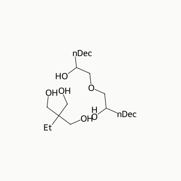 CCC(CO)(CO)CO.CCCCCCCCCCC(O)COCC(O)CCCCCCCCCC